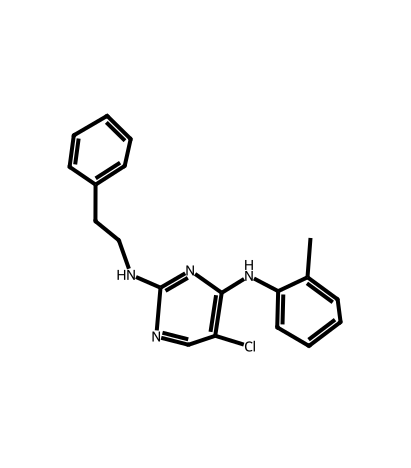 Cc1ccccc1Nc1nc(NCCc2ccccc2)ncc1Cl